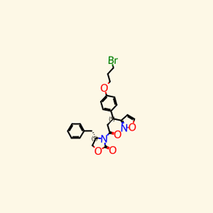 O=C(C[C@@H](c1ccc(OCCCBr)cc1)c1ccon1)N1C(=O)OC[C@@H]1Cc1ccccc1